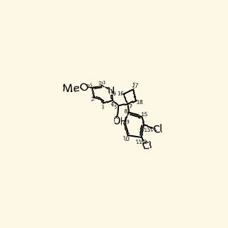 COc1ccc(C(O)C2(c3ccc(Cl)c(Cl)c3)CCC2)nc1